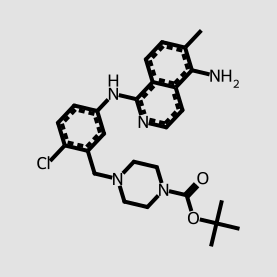 Cc1ccc2c(Nc3ccc(Cl)c(CN4CCN(C(=O)OC(C)(C)C)CC4)c3)nccc2c1N